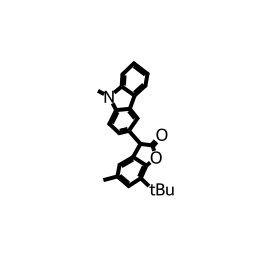 Cc1cc2c(c(C(C)(C)C)c1)OC(=O)C2c1ccc2c(c1)c1ccccc1n2C